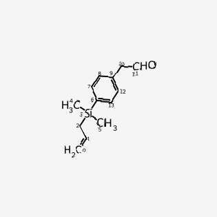 C=CC[Si](C)(C)c1ccc(CC=O)cc1